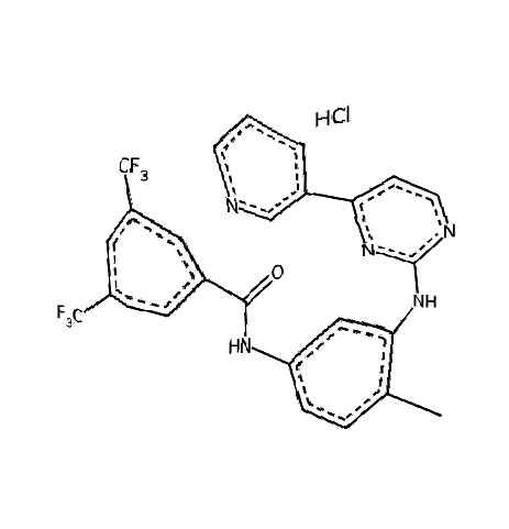 Cc1ccc(NC(=O)c2cc(C(F)(F)F)cc(C(F)(F)F)c2)cc1Nc1nccc(-c2cccnc2)n1.Cl